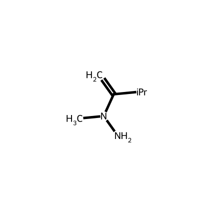 C=C(C(C)C)N(C)N